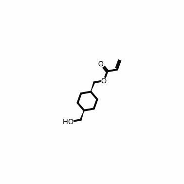 C=CC(=O)OC[C@H]1CC[C@@H](CO)CC1